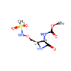 CC(C)(C)OC(=O)N[C@H]1C(=O)N[C@H]1CONS(C)(=O)=O